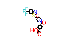 CC1(Oc2nc3ccc(C(F)(F)F)cc3s2)CCN(C(=O)c2ccc(C3(O)COC3)cc2)CC1